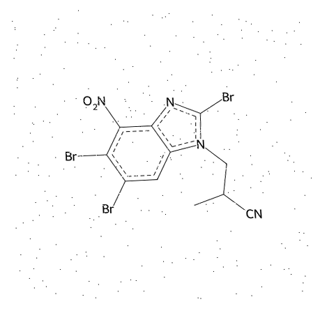 CC(C#N)Cn1c(Br)nc2c([N+](=O)[O-])c(Br)c(Br)cc21